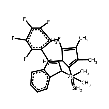 CC1=C(C)C(C)[C]([Zr]([CH3])([CH3])(=[SiH2])[CH]2C=C(c3c(F)c(F)c(F)c(F)c3F)c3ccccc32)=C1C